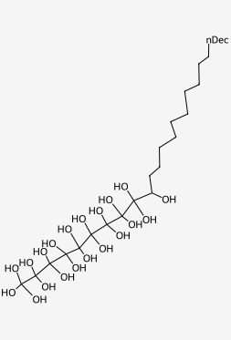 CCCCCCCCCCCCCCCCCCCCC(O)C(O)(O)C(O)(O)C(O)(O)C(O)(O)C(O)(O)C(O)(O)C(O)(O)C(O)(O)C(O)(O)O